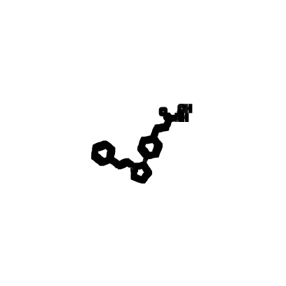 O=C(/C=C/c1ccc([C@@H]2CCCN2/C=C/c2ccccc2)cc1)NO